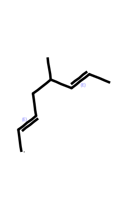 [CH2]/C=C/CC(C)/C=C/C